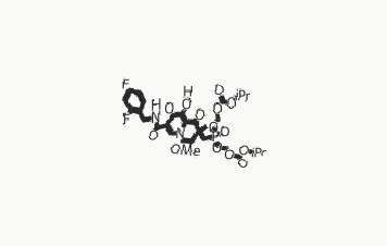 COC1Cn2cc(C(=O)NCc3ccc(F)cc3F)c(=O)c(O)c2C(=O)C1(C)CP(=O)(OCOC(=O)OC(C)C)OCOC(=O)OC(C)C